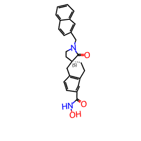 O=C(NO)c1ccc2c(c1)CC[C@@]1(CCN(Cc3ccc4ccccc4c3)C1=O)C2